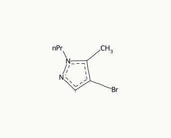 CCCn1n[c]c(Br)c1C